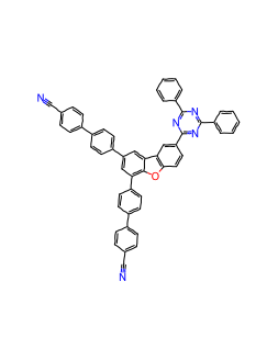 N#Cc1ccc(-c2ccc(-c3cc(-c4ccc(-c5ccc(C#N)cc5)cc4)c4oc5ccc(-c6nc(-c7ccccc7)nc(-c7ccccc7)n6)cc5c4c3)cc2)cc1